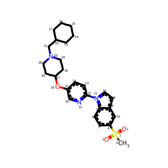 CS(=O)(=O)c1ccc2c(ccn2-c2ccc(OC3CCN(CC4CCCCC4)CC3)cn2)c1